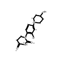 CCCC1CCN(c2ccc(N3CCC(=O)NC3=O)c(F)c2)CC1